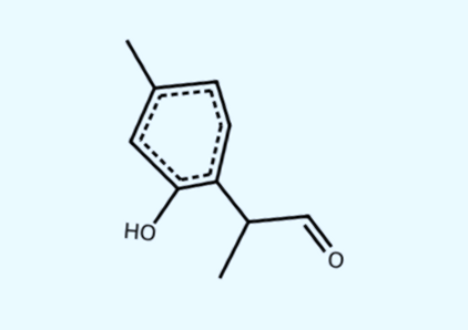 Cc1ccc(C(C)C=O)c(O)c1